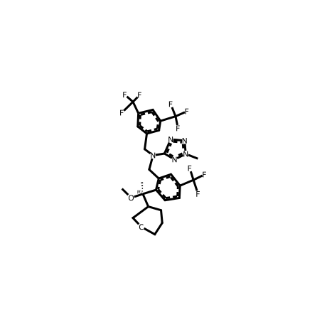 CO[C@@](C)(c1ccc(C(F)(F)F)cc1CN(Cc1cc(C(F)(F)F)cc(C(F)(F)F)c1)c1nnn(C)n1)C1CCCCC1